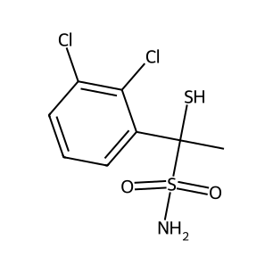 CC(S)(c1cccc(Cl)c1Cl)S(N)(=O)=O